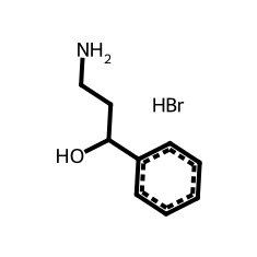 Br.NCCC(O)c1ccccc1